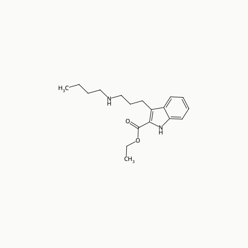 CCCCNCCCc1c(C(=O)OCC)[nH]c2ccccc12